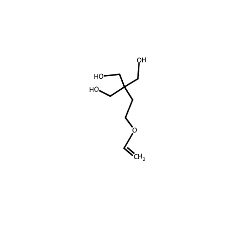 C=COCCC(CO)(CO)CO